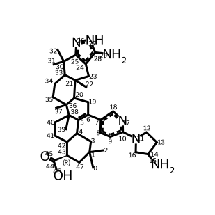 CC1(C)CC2C3=C(c4ccc(N5CCC(N)C5)nc4)CC4C5(C)Cc6c(n[nH]c6N)C(C)(C)C5CCC4(C)C3(C)CCC2[C@H](C(=O)O)C1